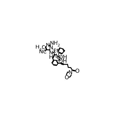 CC[C@H](Nc1nc(N)nc(C)c1C#N)C1=Cc2cccc(C#CCCCC(=C=O)N3CCOCC3)c2S(O)(O)N1c1ccccc1